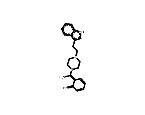 N=C1C=CC=C/C1=C(/N)N1CCN(CCc2c[nH]c3ccccc23)CC1